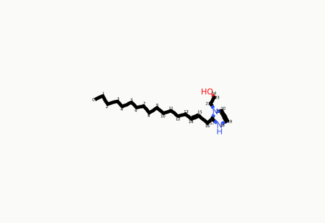 CCCCCCCCCCCCCCC=CCC1NC=CN1CCO